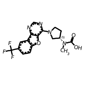 CN(C(=O)O)[C@H]1CCN(c2ncnc3c2oc2ccc(C(F)(F)F)cc23)C1